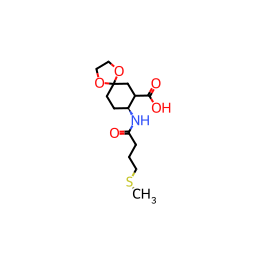 CSCCCC(=O)N[C@H]1CCC2(CC1C(=O)O)OCCO2